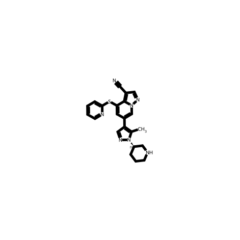 Cc1c(-c2cc(Sc3ccccn3)c3c(C#N)cnn3c2)cnn1[C@H]1CCCNC1